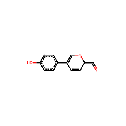 O=CC1C=CC(c2ccc(O)cc2)=CO1